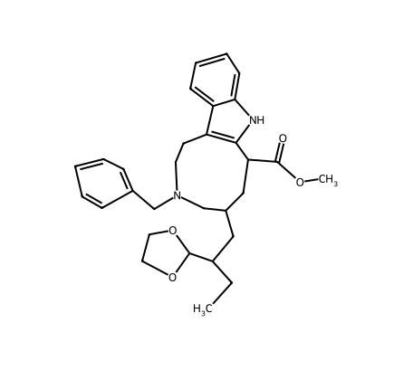 CCC(CC1CC(C(=O)OC)c2[nH]c3ccccc3c2CCN(Cc2ccccc2)C1)C1OCCO1